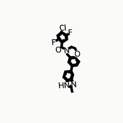 Cc1nc2cc(-c3ccc4c(c3)CN(C(=O)c3cc(F)c(Cl)cc3F)CCO4)ccc2[nH]1